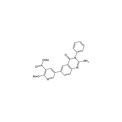 COC(=O)c1cc(-c2ccc3nc(N)n(-c4ccccc4)c(=O)c3c2)cnc1OC